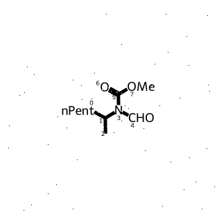 CCCCCC(C)N(C=O)C(=O)OC